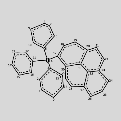 c1cc[c]([Bi]([c]2ccccc2)([c]2ccccc2)[c]2ccc3ccc4cccc5ccc2c3c45)cc1